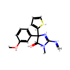 B=NC1=NC(c2cccc(OC)c2)(c2cccs2)C(=O)N1C